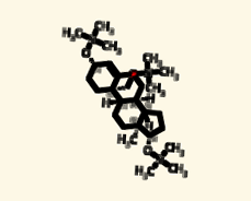 C[C@]12CC[C@H]3[C@@H](CCC4=C[C@@H](O[Si](C)(C)C)CC[C@@]43CO[Si](C)(C)C)[C@@H]1CC[C@@H]2O[Si](C)(C)C